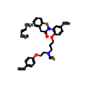 COc1ccc(OCCN(C)CCCOc2ccc(OC)cc2N2Sc3ccccc3CC2=O)cc1.O=C(O)C=CC(=O)O